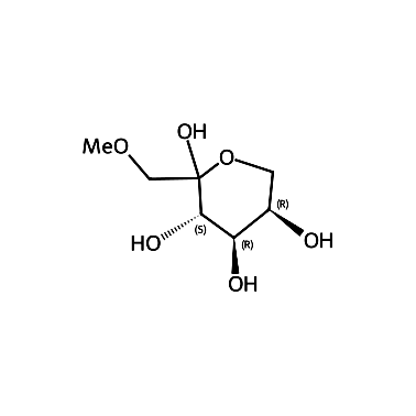 COCC1(O)OC[C@@H](O)[C@@H](O)[C@@H]1O